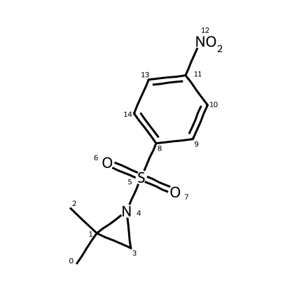 CC1(C)CN1S(=O)(=O)c1ccc([N+](=O)[O-])cc1